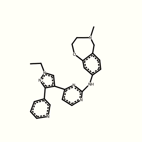 CCn1cc(-c2ccnc(Nc3ccc4c(c3)OCCN(C)C4)n2)c(-c2cccnc2)n1